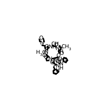 C[C@@H]1C[C@H]2C(=O)O[C@@H](C)[C@H](NC(=O)[C@H](Cc3ccccc3)NC(=O)Nc3ccccc3)C(=O)N3CCC[C@H]3C(=O)N(C)[C@@H](CCCN3CCOCC3)C(=O)N[C@@H](C)C(=O)N2C1